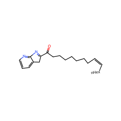 CCCCCC/C=C\CCCCCCCC(=O)C1=Nc2ncccc2C1